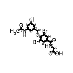 CC(=O)Nc1cc(Cl)cc(COc2c(Br)cc(C(=O)NCC(=O)O)cc2Br)c1